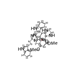 COc1ccc(Cn2c(CCc3c[nH]c4ccccc34)nnc2[C@@H](Cc2c[nH]c3ccccc23)NC(=O)C2CNCCN2)c(OC)c1